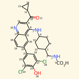 O=C(O)NCC1CCC(Nc2c(C(=O)C3CC3)cnc3ccc(-c4cc(Cl)c(O)c(Cl)c4)cc23)CC1